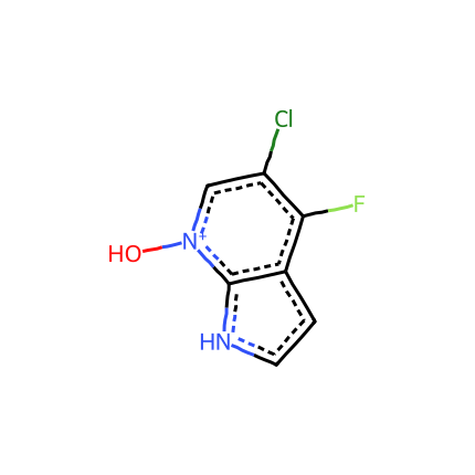 O[n+]1cc(Cl)c(F)c2cc[nH]c21